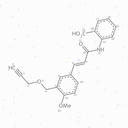 C#CCOCc1cc(/C=C/C(=O)Nc2ccccc2C(=O)O)ccc1OC